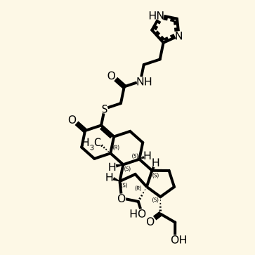 C[C@]12CCC(=O)C(SCC(=O)NCCc3c[nH]cn3)=C1CC[C@@H]1[C@@H]2[C@@H]2C[C@]3(C(O)O2)[C@@H](C(=O)CO)CC[C@@H]13